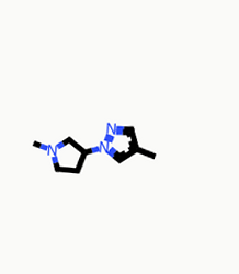 Cc1cnn(C2CCN(C)C2)c1